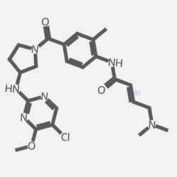 COc1nc(NC2CCN(C(=O)c3ccc(NC(=O)/C=C/CN(C)C)c(C)c3)C2)ncc1Cl